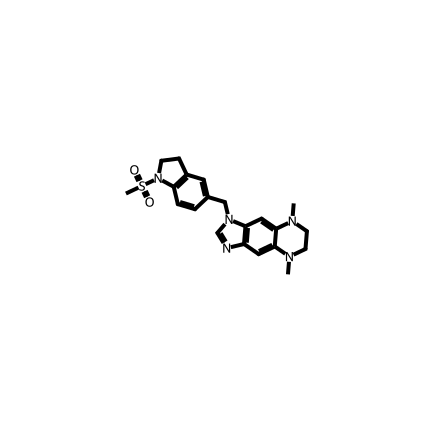 CN1CCN(C)c2cc3c(cc21)ncn3Cc1ccc2c(c1)CCN2S(C)(=O)=O